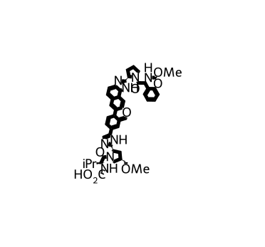 COC[C@H]1C[C@@H](c2ncc(C3=CC4=COC5=CC6C(=CC=C7N=C([C@@H]8CCCN8C(=O)[C@H](NC(=O)OC)c8ccccc8)NC76)C=C5C4C=C3)[nH]2)N(C(=O)[C@@H](NC(=O)O)C(C)C)C1